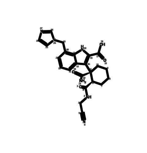 N#CCNC(=O)[C@@H]1CCCC[C@@]1(C(N)=O)c1c(C(=O)O)[nH]c2c(Cn3ccnc3)cccc12